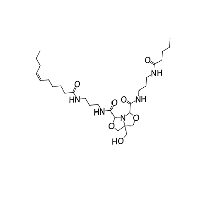 CCC/C=C\CCCCC(=O)NCCCNC(=O)C1OCC2(CO)COC(C(=O)NCCCNC(=O)CCCC)N12